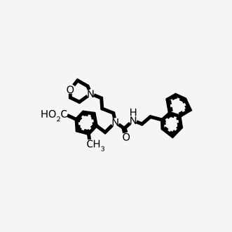 Cc1cc(C(=O)O)ccc1CN(CCCN1CCOCC1)C(=O)NCCc1cccc2ccccc12